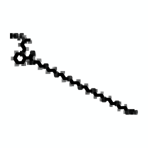 COCCOCCOCCOCCOCCOCCOCCOCCNC(=O)C1CCCCN1CCN(C)C(=O)O